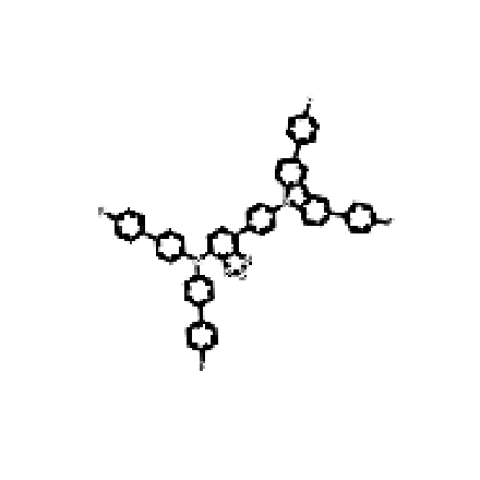 Fc1ccc(-c2ccc(N(c3ccc(-c4ccc(F)cc4)cc3)c3ccc(-c4ccc(-n5c6ccc(-c7ccc(F)cc7)cc6c6cc(-c7ccc(F)cc7)ccc65)cc4)c4nsnc34)cc2)cc1